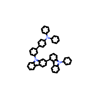 c1ccc(N(c2ccccc2)c2ccc(-c3cccc(-n4c5ccccc5c5ccc(-c6cccc7c6c6ccccc6n7-c6ccccc6)cc54)c3)cc2)cc1